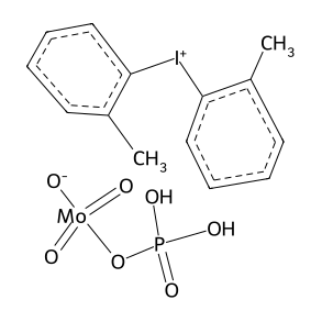 Cc1ccccc1[I+]c1ccccc1C.O=P(O)(O)[O][Mo](=[O])(=[O])[O-]